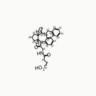 O=C(O)CCC(=O)NCC(=O)N1c2ccccc2N(Cc2ccccc2)C(=O)[C@H]2CCC[C@H]21